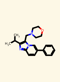 CC(C)c1nc2ccc(-c3ccccc3)cn2c1CN1CCOCC1